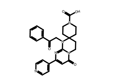 O=C(CN1c2nc(-c3ccncc3)cc(=O)n2CCC12CCN(C(=O)O)CC2)c1ccccc1